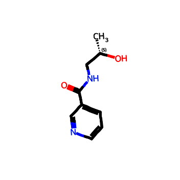 C[C@H](O)CNC(=O)c1cccnc1